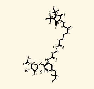 CCC(C)(C)Cc1ccc(O[C@@H]2O[C@H](C(=O)O)[C@@H](O)[C@H](O)[C@H]2O)c(NC(=O)CCNC(=O)CCCCC(C)CCN2C(=O)C(C(C)(C)C)=C(C(C)(C)C)C2=O)c1